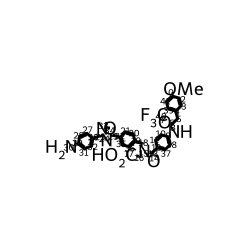 COc1ccc(CC(=O)Nc2ccc(C(=O)N(CC(=O)O)Cc3ccc(-c4nc(-c5ccc(N)cc5)no4)cc3)cc2)c(C(F)(F)F)c1